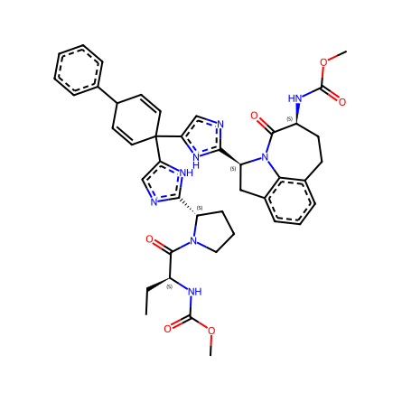 CC[C@H](NC(=O)OC)C(=O)N1CCC[C@H]1c1ncc(C2(c3cnc([C@@H]4Cc5cccc6c5N4C(=O)[C@@H](NC(=O)OC)CC6)[nH]3)C=CC(c3ccccc3)C=C2)[nH]1